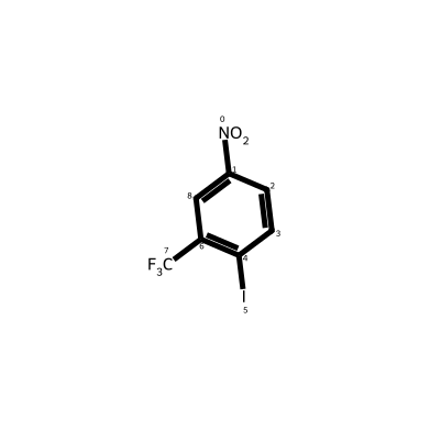 O=[N+]([O-])c1ccc(I)c(C(F)(F)F)c1